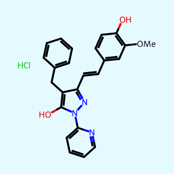 COc1cc(/C=C/c2nn(-c3ccccn3)c(O)c2Cc2ccccc2)ccc1O.Cl